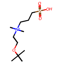 CC(C)(C)OCC[N+](C)(C)CCCS(=O)(=O)O